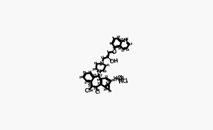 Cl.Cl.Cl.O[C@@H](COc1cccc2ncccc12)CN1CCN(C2c3ccccc3C(Cl)C(Cl)c3c2ccc2c3C2)CC1